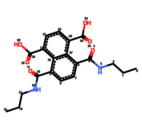 CCCNC(=O)c1ccc(C(=O)NCCC)c2c(C(=O)O)ccc(C(=O)O)c12